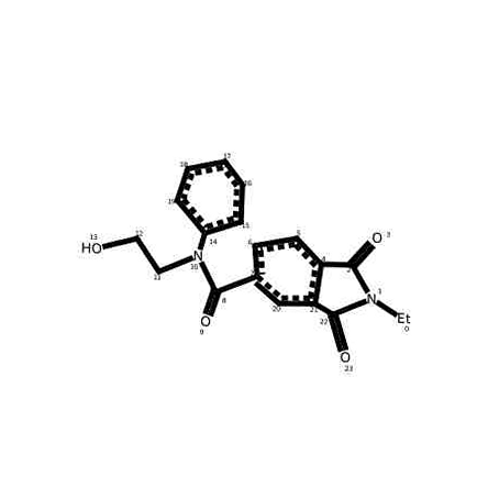 CCN1C(=O)c2ccc(C(=O)N(CCO)c3ccccc3)cc2C1=O